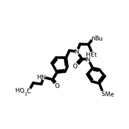 CCCCC(CC)CN(Cc1ccc(C(=O)NCCC(=O)O)cc1)C(=O)Nc1ccc(SC)cc1